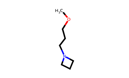 COCCCN1CCC1